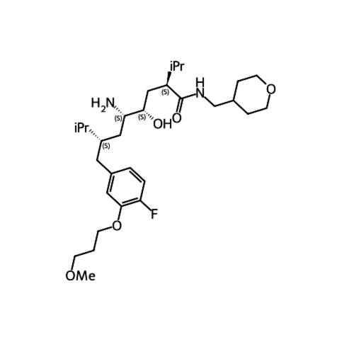 COCCCOc1cc(C[C@@H](C[C@H](N)[C@@H](O)C[C@H](C(=O)NCC2CCOCC2)C(C)C)C(C)C)ccc1F